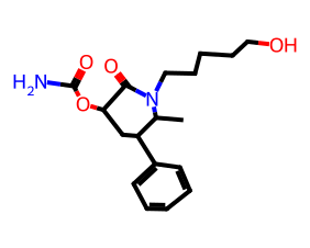 CC1C(c2ccccc2)CC(OC(N)=O)C(=O)N1CCCCCO